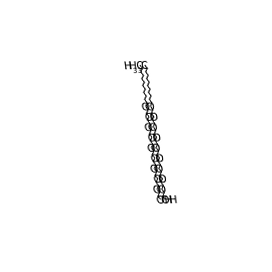 CCCCCCCCCCCCOCCOCCOCCOCCOCCOCCOCCOCCOCCO.CCCCCCCCCCCCOCCOCCOCCOCCOCCOCCOCCOCCOCCO